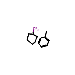 Cc1ccccc1.PC1CCCCC1